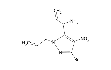 C=CCn1nc(Br)c([N+](=O)[O-])c1C(N)C=C